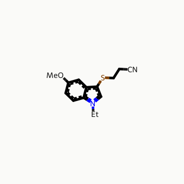 CCn1cc(SCCC#N)c2cc(OC)ccc21